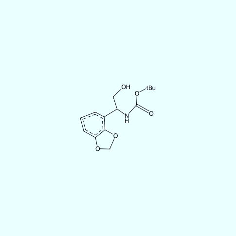 CC(C)(C)OC(=O)NC(CO)c1cccc2c1OCO2